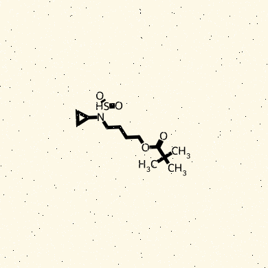 CC(C)(C)C(=O)OCCCCN(C1CC1)[SH](=O)=O